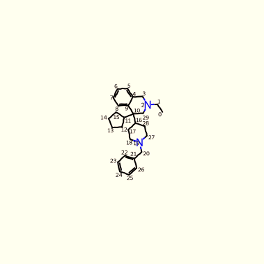 CCN1Cc2ccccc2C(C2CCCC2)(C2CCN(Cc3ccccc3)CC2)C1